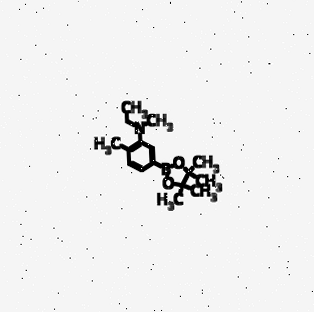 CCN(C)c1cc(B2OC(C)(C)C(C)(C)O2)ccc1C